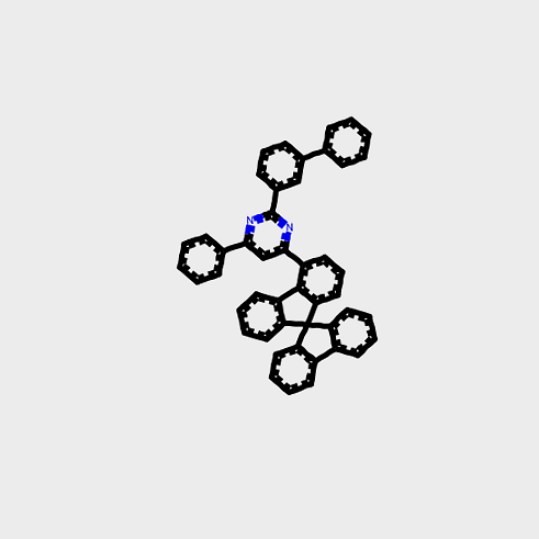 c1ccc(-c2cccc(-c3nc(-c4ccccc4)cc(-c4cccc5c4-c4ccccc4C54c5ccccc5-c5ccccc54)n3)c2)cc1